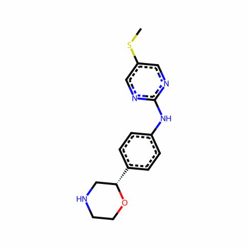 CSc1cnc(Nc2ccc([C@H]3CNCCO3)cc2)nc1